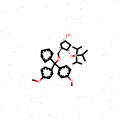 COc1ccc(C(OC[C@H]2C[C@H](O)C[C@@H]2O[Si](C(C)C)(C(C)C)C(C)C)(c2ccccc2)c2ccc(OC)cc2)cc1